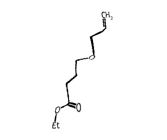 C=CCOCCCC(=O)OCC